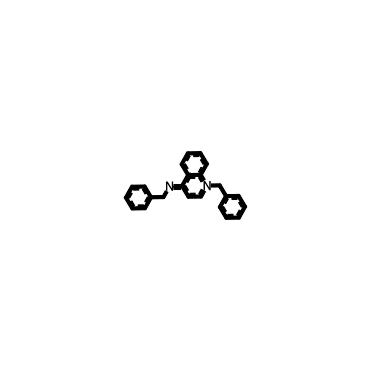 c1ccc(CN=c2ccn(Cc3ccccc3)c3ccccc23)cc1